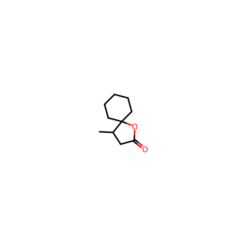 CC1CC(=O)OC12CCCCC2